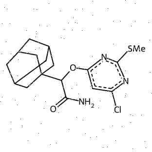 CSc1nc(Cl)cc(OC(C(N)=O)C23CC4CC(CC(C4)C2)C3)n1